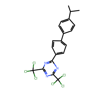 CC(C)c1ccc(-c2ccc(-c3nc(C(Cl)(Cl)Cl)nc(C(Cl)(Cl)Cl)n3)cc2)cc1